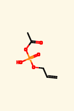 C=CCOP(=O)(O)OC(C)=O